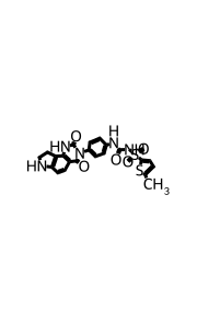 Cc1ccc(S(=O)(=O)NC(=O)Nc2ccc(-n3c(=O)[nH]c4c5c(ccc4c3=O)NCC5)cc2)s1